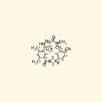 Cc1cc(C)c(-c2[nH]nc(C(=O)N(C)C)c2C)cc1C(=O)N1CC(F)(c2ccc(C#N)cc2)C1